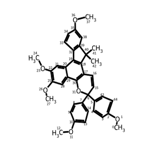 COc1ccc(C2(c3ccc(OC)cc3)C=Cc3c4c(c5cc(OC)c(OC)cc5c3O2)-c2ccc(OC)cc2C4(C)C)cc1